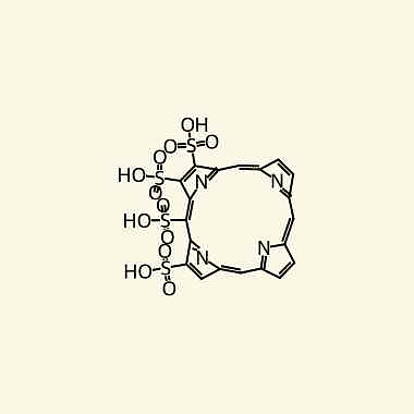 O=S(=O)(O)C1=CC2=CC3=NC(=CC4=NC(=CC5=NC(=C(S(=O)(=O)O)C1=N2)C(S(=O)(=O)O)=C5S(=O)(=O)O)C=C4)C=C3